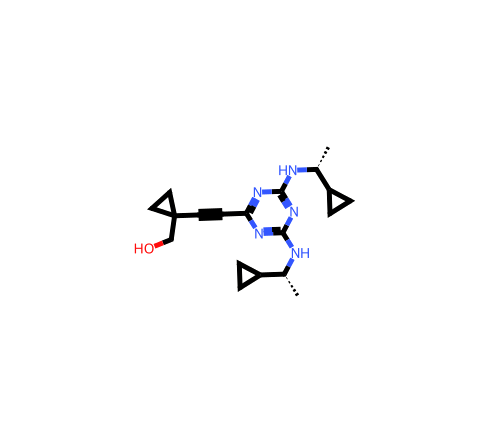 C[C@@H](Nc1nc(C#CC2(CO)CC2)nc(N[C@H](C)C2CC2)n1)C1CC1